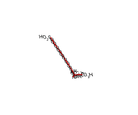 CCCCCCCCCCCN(C(=O)CCCCCCCCCC(=O)O)[C@@H](CCC(=O)NCCOCCOCCOCCOCCOCCOCCOCCOCCOCCOCCOCCOCCOCCOCCOCCOCCC(=O)O)C(=O)O